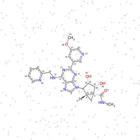 CNC(=O)[C@]12C[C@@H]1C(n1cnc3c(NCc4ccccn4)nc(-c4cncc(OC)c4)nc31)[C@H](O)[C@@H]2O